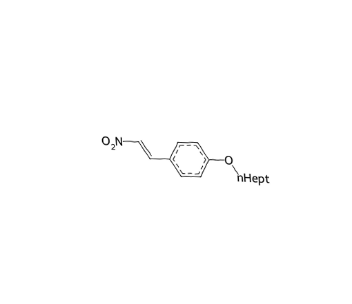 CCCCCCCOc1ccc(/C=C/[N+](=O)[O-])cc1